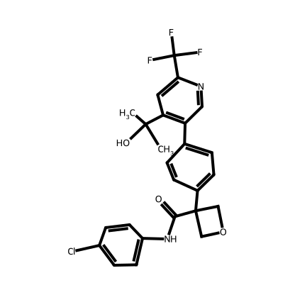 CC(C)(O)c1cc(C(F)(F)F)ncc1-c1ccc(C2(C(=O)Nc3ccc(Cl)cc3)COC2)cc1